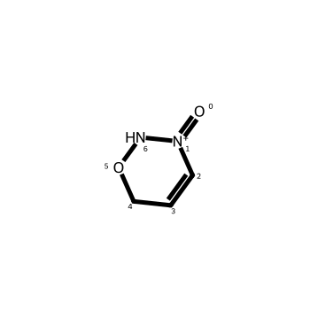 O=[N+]1C=CCON1